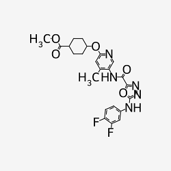 COC(=O)C1CCC(Oc2cc(C)c(NC(=O)c3nnc(Nc4ccc(F)c(F)c4)o3)cn2)CC1